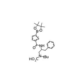 CC(C)(C)N(CC(Cc1ccccc1)NC(=O)c1ccc(B2OC(C)(C)C(C)(C)O2)s1)C(=O)O